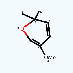 COC1=COC(C)(C)C=C1